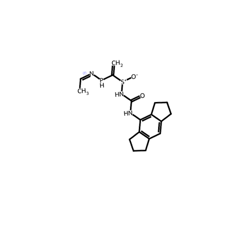 C=C(P/N=C\C)[S+]([O-])NC(=O)Nc1c2c(cc3c1CCC3)CCC2